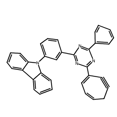 C1#CC(c2nc(-c3ccccc3)nc(-c3cccc(-n4c5ccccc5c5ccccc54)c3)n2)=CC=CC1